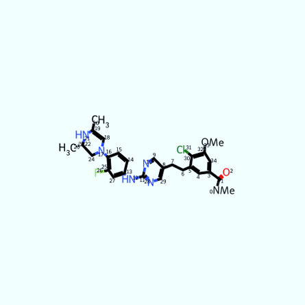 CNC(=O)c1cc(CCc2cnc(Nc3ccc(N4C=C(C)N[C@@H](C)C4)c(F)c3)nc2)c(Cl)c(OC)c1